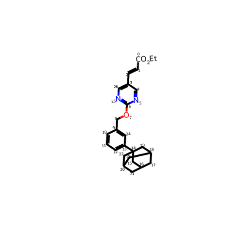 CCOC(=O)C=Cc1cnc(OCc2cccc(C34CC5CC(CC(C5)C3)C4)c2)nc1